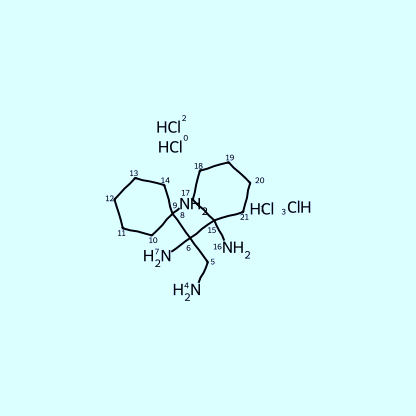 Cl.Cl.Cl.Cl.NCC(N)(C1(N)CCCCC1)C1(N)CCCCC1